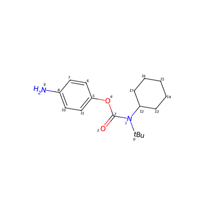 CC(C)(C)N(C(=O)Oc1ccc(N)cc1)C1CCCCC1